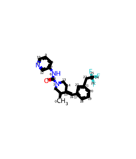 CC1CN(C(=O)Nc2cccnc2)CCC1=Cc1cccc(CC(F)(F)F)c1